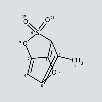 Cc1c2c3oc1cc3OS2(=O)=O